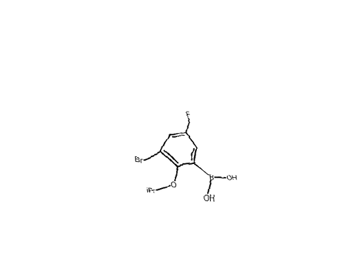 CC(C)Oc1c(Br)cc(F)cc1B(O)O